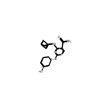 NC(=O)c1cnc(N[C@H]2CCC[C@H](O)C2)nc1NC12CC(C1)C2